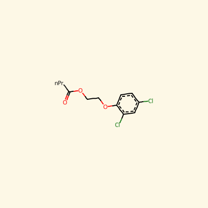 CCCC(=O)OCCOc1ccc(Cl)cc1Cl